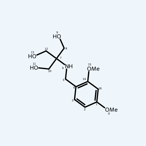 COc1ccc(CNC(CO)(CO)CO)c(OC)c1